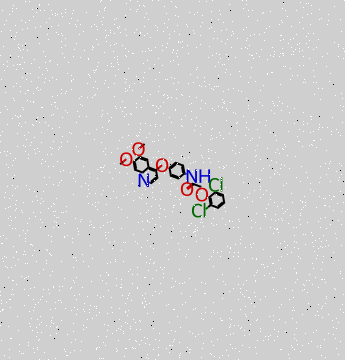 COc1cc2nccc(Oc3ccc(NC(=O)COc4c(Cl)cccc4Cl)cc3)c2cc1OC